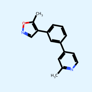 Cc1cc(-c2cccc(-c3cnoc3C)c2)ccn1